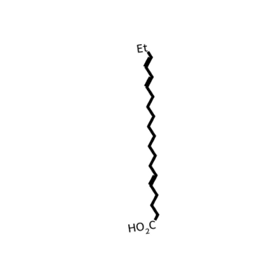 CC/C=C/C=C/CCCCCCCC/C=C/CCCC(=O)O